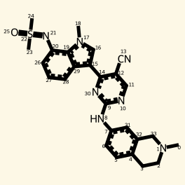 CN1CCc2ccc(Nc3ncc(C#N)c(-c4cn(C)c5c(N=S(C)(C)=O)cccc45)n3)cc2C1